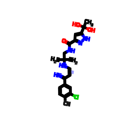 BC(B)(CNC(=O)c1cc(C(C)(O)O)[nH]n1)N/C=C\C(=N)c1ccc(C#N)c(Cl)c1